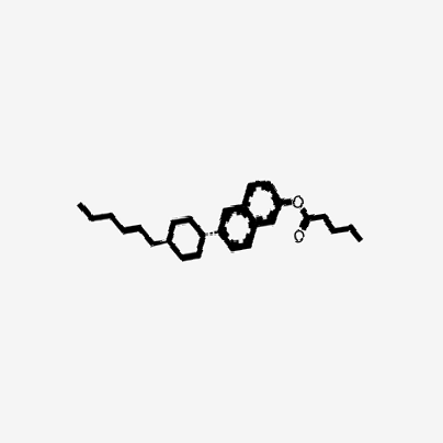 CCCCCC[C@H]1CC[C@H](c2ccc3cc(OC(=O)CCCC)ccc3c2)CC1